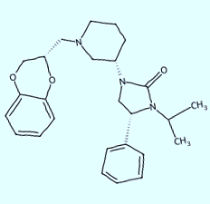 CC(C)N1C(=O)N([C@H]2CCCN(C[C@H]3COc4ccccc4O3)C2)C[C@H]1c1ccccc1